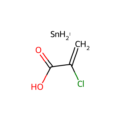 C=C(Cl)C(=O)O.[SnH2]